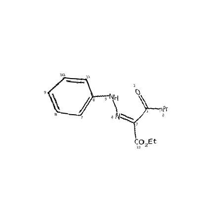 CCCC(=O)C(=NNc1ccccc1)C(=O)OCC